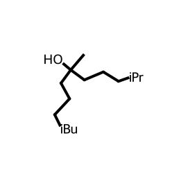 CCC(C)CCCC(C)(O)CCCC(C)C